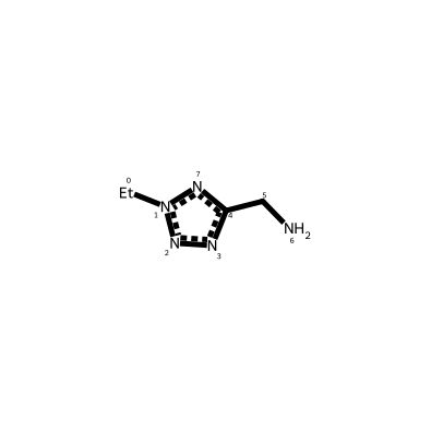 CCn1nnc(CN)n1